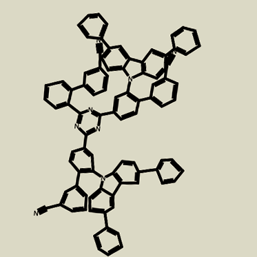 N#Cc1cccc(-c2ccccc2-c2nc(-c3ccc(-c4cccc(C#N)c4)c(-n4c5ccc(-c6ccccc6)cc5c5cc(-c6ccccc6)ccc54)c3)nc(-c3ccc(-c4cccc(C#N)c4)c(-n4c5ccc(-c6ccccc6)cc5c5cc(-c6ccccc6)ccc54)c3)n2)c1